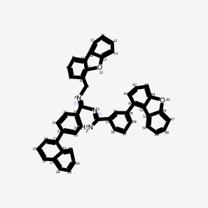 N/C(=N\C(=N/Cc1cccc2c1oc1ccccc12)c1ccc(-c2cccc3ccccc23)cc1)c1cccc(-c2cccc3oc4ccccc4c23)c1